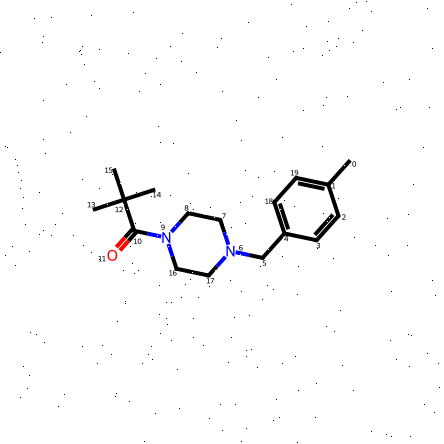 Cc1ccc(CN2CCN(C(=O)C(C)(C)C)CC2)cc1